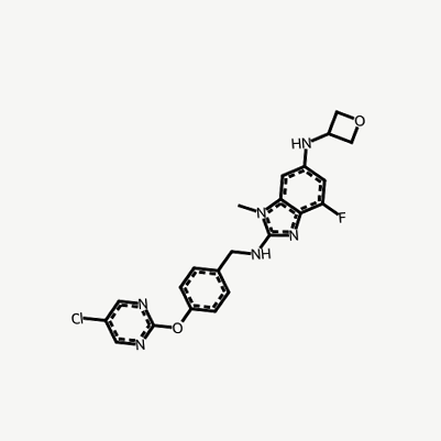 Cn1c(NCc2ccc(Oc3ncc(Cl)cn3)cc2)nc2c(F)cc(NC3COC3)cc21